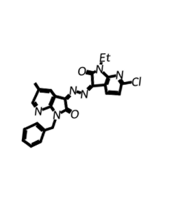 CCN1C(=O)/C(=N\N=C2/C(=O)N(Cc3ccccc3)c3ncc(C)cc32)c2ccc(Cl)nc21